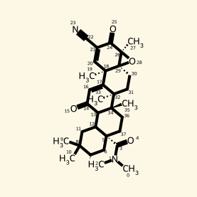 CN(C)C(=O)[C@]12CCC(C)(C)CC1C1C(=O)C=C3[C@@]4(C)C=C(C#N)C(=O)[C@@]5(C)O[C@@]45CC[C@@]3(C)[C@]1(C)CC2